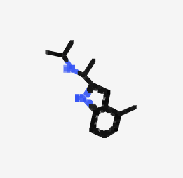 Cc1cccc2[nH]c(C(C)NC(C)C)cc12